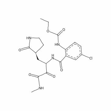 CCOC(=O)Nc1ccc(Cl)cc1C(=O)NC(C[C@@H]1CCNC1=O)C(=O)C(=O)NC